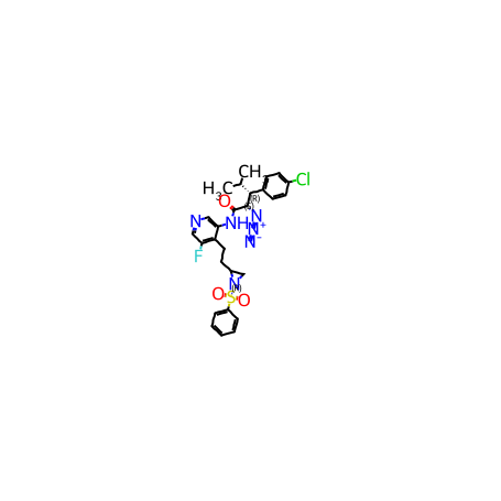 CC(C)[C@H](c1ccc(Cl)cc1)[C@H](N=[N+]=[N-])C(=O)Nc1cncc(F)c1CCC1C[N@]1S(=O)(=O)c1ccccc1